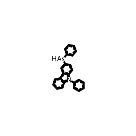 c1ccc([AsH]c2ccc3c(c2)c2ccccc2n3-c2ccccc2)cc1